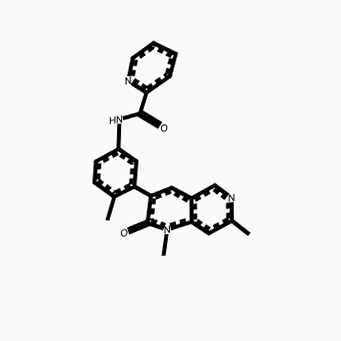 Cc1cc2c(cn1)cc(-c1cc(NC(=O)c3ccccn3)ccc1C)c(=O)n2C